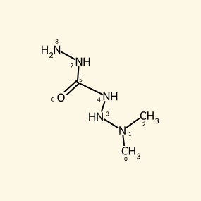 CN(C)NNC(=O)NN